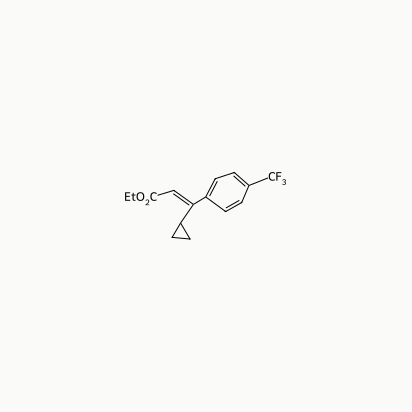 CCOC(=O)C=C(c1ccc(C(F)(F)F)cc1)C1CC1